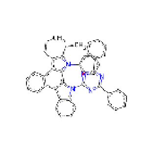 C=Cc1c(/C=C\C)c2c3ccccc3c3c4ccccc4n(-c4nc(-c5ccccc5)nc(-c5ccccc5)n4)c3c2n1-c1ccccc1